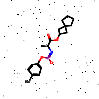 C[C@H](N=[P+]([O-])Oc1ccc(C(C)(C)C)cc1)C(=O)OC1CC2(CCCC2)C1